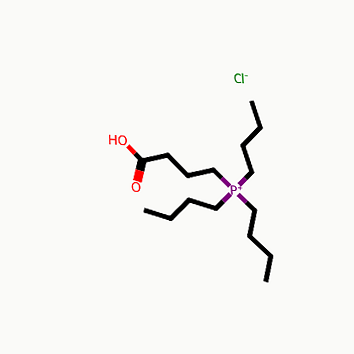 CCCC[P+](CCCC)(CCCC)CCCC(=O)O.[Cl-]